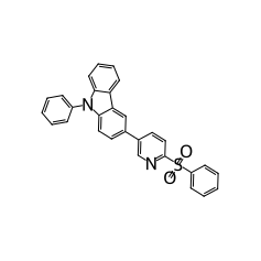 O=S(=O)(c1ccccc1)c1ccc(-c2ccc3c(c2)c2ccccc2n3-c2ccccc2)cn1